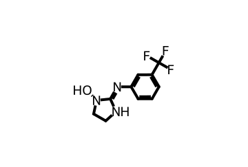 ON1CCN/C1=N\c1cccc(C(F)(F)F)c1